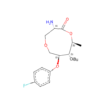 CC(C)CO[C@H]1[C@H](C)OC(=O)[C@@H](N)COC[C@@H]1Oc1ccc(F)cc1